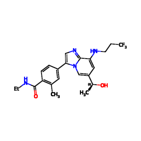 CCNC(=O)c1ccc(-c2cnc3c(NCCC(F)(F)F)cc([C@H](C)O)cn23)cc1C